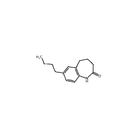 CC[CH]Cc1ccc2c(c1)CCCC(=O)N2